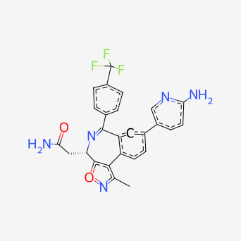 Cc1noc2c1-c1ccc(-c3ccc(N)nc3)cc1C(c1ccc(C(F)(F)F)cc1)=N[C@H]2CC(N)=O